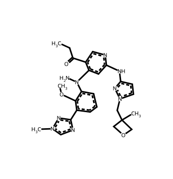 CCC(=O)c1cnc(Nc2ccn(CC3(C)COC3)n2)cc1N(N)c1cccc(-c2ncn(C)n2)c1OC